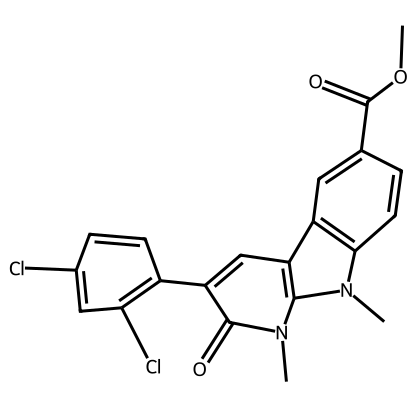 COC(=O)c1ccc2c(c1)c1cc(-c3ccc(Cl)cc3Cl)c(=O)n(C)c1n2C